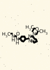 CCNC(=O)Nc1ccc(-c2nc(N3C[C@@H](C)O[C@@H](C)C3)c3cccn3n2)cc1